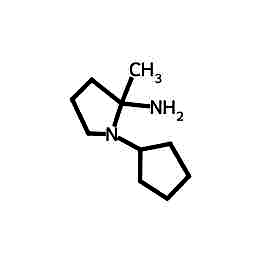 CC1(N)CCCN1C1CCCC1